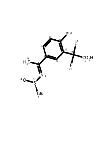 CC(=N[S@+]([O-])C(C)(C)C)c1ccc(F)c(C(F)(F)C(=O)O)c1